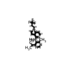 Cc1ncnc(C(C)C)c1Nc1nccc2c1ccn2CCC(F)(F)F